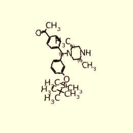 CC(=O)c1ccc([C@H](c2cccc(O[Si](C)(C)C(C)(C)C)c2)N2C[C@@H](C)NC[C@@H]2C)cc1